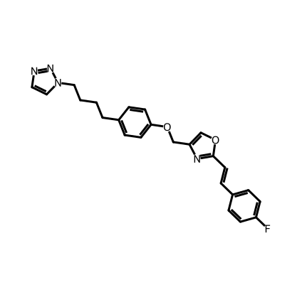 Fc1ccc(C=Cc2nc(COc3ccc(CCCCn4ccnn4)cc3)co2)cc1